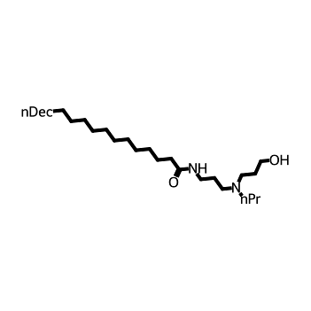 CCCCCCCCCCCCCCCCCCCCCC(=O)NCCCN(CCC)CCCO